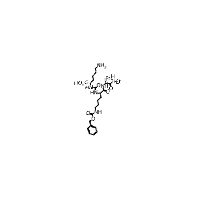 CCNC(=O)[C@@H](NC(=O)[C@@H](CCCCNC(=O)OCc1ccccc1)NC(=O)N[C@@H](CCCCN)C(=O)O)C(C)C